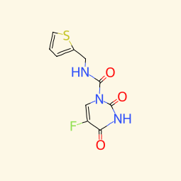 O=C(NCc1cccs1)n1cc(F)c(=O)[nH]c1=O